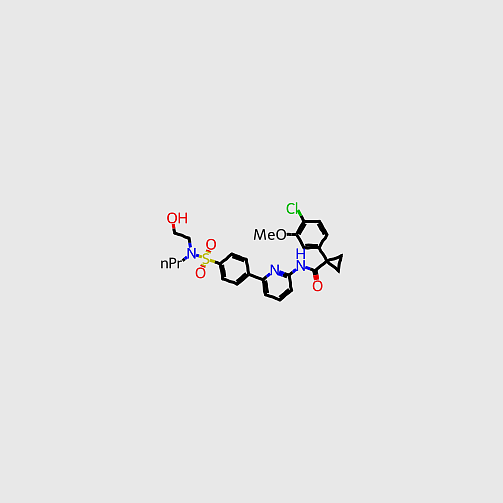 CCCN(CCO)S(=O)(=O)c1ccc(-c2cccc(NC(=O)C3(c4ccc(Cl)c(OC)c4)CC3)n2)cc1